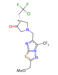 COCc1nn2c(C(F)(F)F)c(CN3CC(=O)[C@H](CC(F)(F)Cl)C3)nc2s1